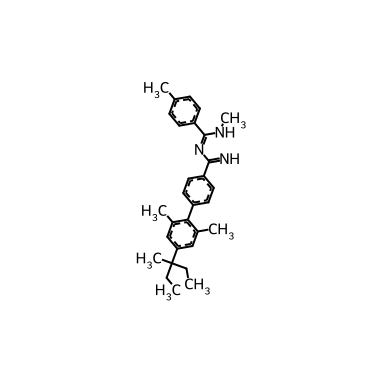 CCC(C)(CC)c1cc(C)c(-c2ccc(C(=N)/N=C(\NC)c3ccc(C)cc3)cc2)c(C)c1